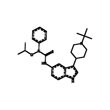 CC(C)ON(C(=S)Nc1ccc2[nH]cc(C3CCN(C(C)(C)C)CC3)c2c1)c1ccccc1